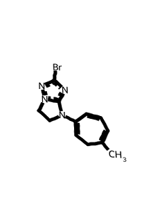 CC1=CC=CC(N2CCn3nc(Br)nc32)=CC1